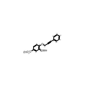 CCOC(=O)c1ccc(OCC#Cc2ccccc2)c(OC)c1